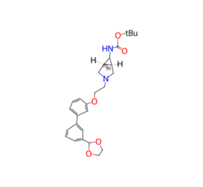 CC(C)(C)OC(=O)NC1[C@H]2CN(CCOc3cccc(-c4cccc(C5OCCO5)c4)c3)C[C@@H]12